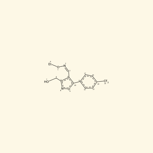 CCO/N=C\c1c(CO)noc1-c1ccc(C(F)(F)F)cc1